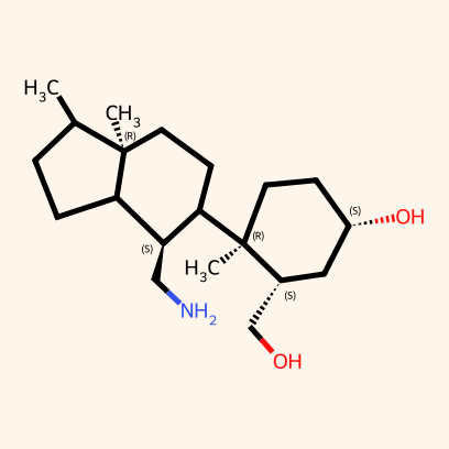 CC1CCC2[C@H](CN)C([C@@]3(C)CC[C@H](O)C[C@@H]3CO)CC[C@]12C